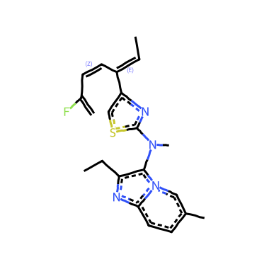 C=C(F)/C=C\C(=C/C)c1csc(N(C)c2c(CC)nc3ccc(C)cn23)n1